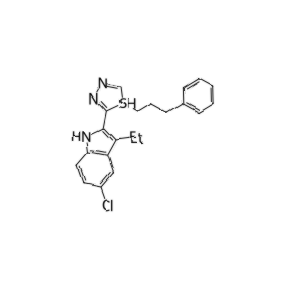 CCc1c(C2=NN=C[SH]2CCCc2ccccc2)[nH]c2ccc(Cl)cc12